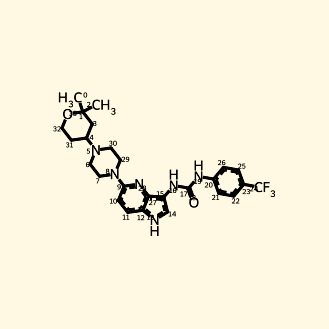 CC1(C)CC(N2CCN(c3ccc4[nH]cc(NC(=O)Nc5ccc(C(F)(F)F)cc5)c4n3)CC2)CCO1